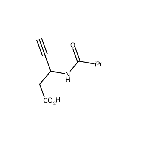 C#CC(CC(=O)O)NC(=O)C(C)C